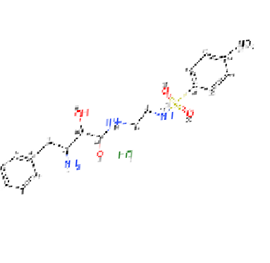 Cl.NC(Cc1ccccc1)C(O)C(=O)NCCNS(=O)(=O)c1ccc([N+](=O)[O-])cc1